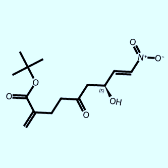 C=C(CCC(=O)C[C@H](O)C=C[N+](=O)[O-])C(=O)OC(C)(C)C